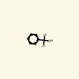 OC(Cl)(Cl)c1cc[c]cc1